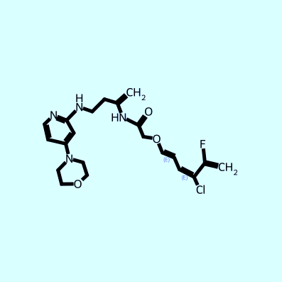 C=C(CCNc1cc(N2CCOCC2)ccn1)NC(=O)CO/C=C/C=C(/Cl)C(=C)F